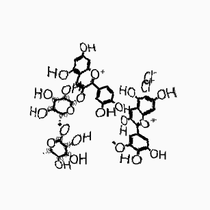 COc1cc(-c2[o+]c3cc(O)cc(O)c3cc2O)cc(O)c1O.C[C@@H]1O[C@@H](OC[C@H]2O[C@@H](Oc3cc4c(O)cc(O)cc4[o+]c3-c3ccc(O)c(O)c3)[C@H](O)[C@@H](O)[C@@H]2O)[C@H](O)[C@H](O)[C@H]1O.[Cl-].[Cl-]